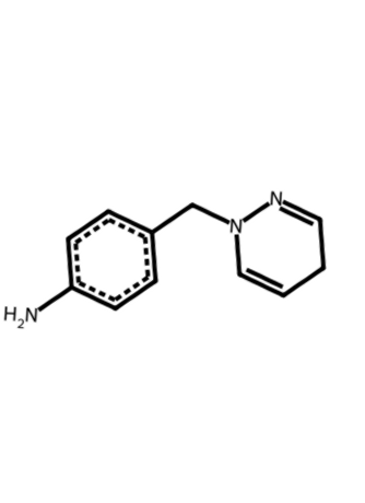 Nc1ccc(CN2C=CCC=N2)cc1